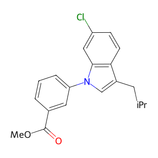 COC(=O)c1cccc(-n2cc(CC(C)C)c3ccc(Cl)cc32)c1